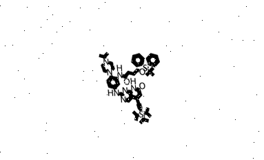 CC(C)N1CCN(c2ccc(Nc3ncc4c(C#C[Si](C(C)C)(C(C)C)C(C)C)cc(=O)[nH]c4n3)cc2NC(=O)CCCO[Si](c2ccccc2)(c2ccccc2)C(C)(C)C)CC1